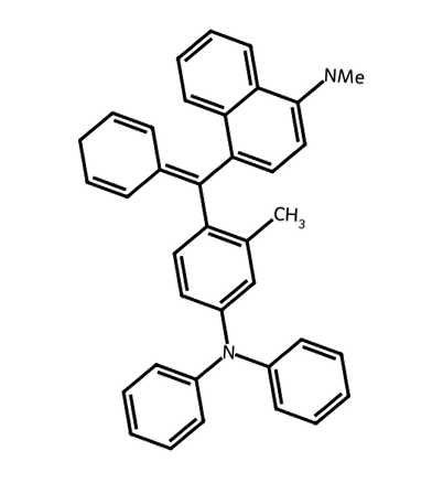 CNc1ccc(C(=C2C=CCC=C2)c2ccc(N(c3ccccc3)c3ccccc3)cc2C)c2ccccc12